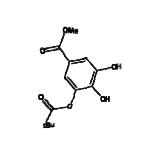 COC(=O)c1cc(O)c(O)c(OC(=O)C(C)(C)C)c1